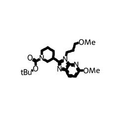 COCCCn1c(C2CCCN(C(=O)OC(C)(C)C)C2)nc2ccc(OC)nc21